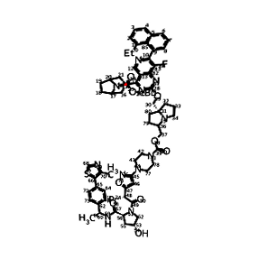 CCc1cccc2cccc(-c3ncc4c(N5CC6CCC(C5)N6C(=O)OC(C)(C)C)nc(OC[C@]56CCCN5C(COC(=O)N5CCN(c7cc([C@H](C(=O)N8C[C@H](O)C[C@H]8C(=O)N[C@@H](C)c8ccc(-c9scnc9C)cc8)C(C)C)on7)CC5)CC6)nc4c3F)c12